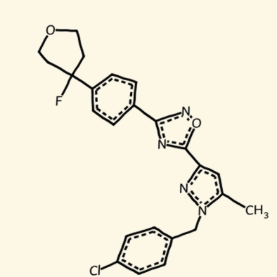 Cc1cc(-c2nc(-c3ccc(C4(F)CCOCC4)cc3)no2)nn1Cc1ccc(Cl)cc1